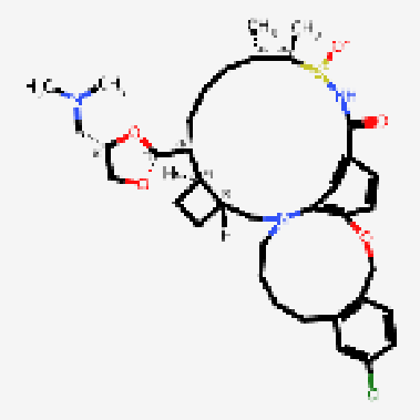 C[C@@H]1[C@@H](C)CCC[C@H]([C@@H]2OC[C@H](CN(C)C)O2)[C@@H]2CC[C@H]2CN2CCCCc3cc(Cl)ccc3COc3ccc(cc32)C(=O)N[S+]1[O-]